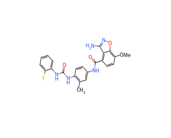 COc1ccc(C(=O)Nc2ccc(NC(=O)Nc3ccccc3F)c(C)c2)c2c(N)noc12